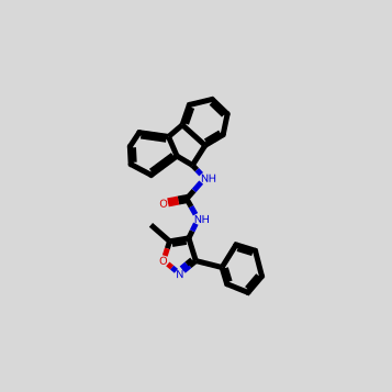 Cc1onc(-c2ccccc2)c1NC(=O)NC1c2ccccc2-c2ccccc21